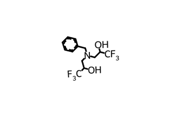 OC(CN(Cc1ccccc1)CC(O)C(F)(F)F)C(F)(F)F